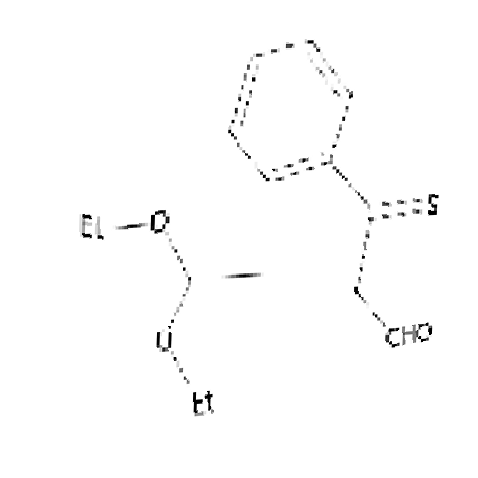 CCOC(C)OCC.O=CCC(=S)c1ccccc1